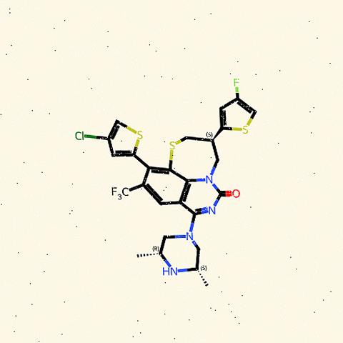 C[C@@H]1CN(c2nc(=O)n3c4c(c(-c5cc(Cl)cs5)c(C(F)(F)F)cc24)SC[C@@H](c2cc(F)cs2)C3)C[C@H](C)N1